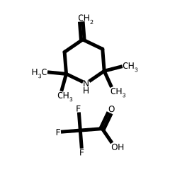 C=C1CC(C)(C)NC(C)(C)C1.O=C(O)C(F)(F)F